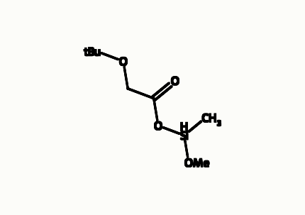 CO[SiH](C)OC(=O)COC(C)(C)C